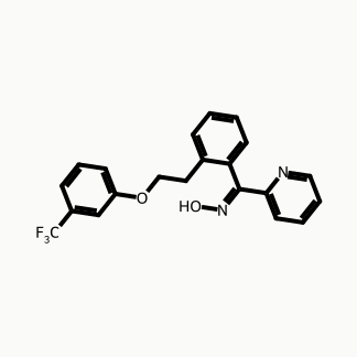 ON=C(c1ccccn1)c1ccccc1CCOc1cccc(C(F)(F)F)c1